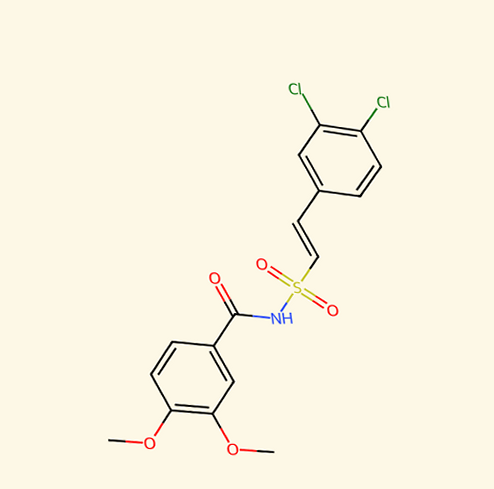 COc1ccc(C(=O)NS(=O)(=O)C=Cc2ccc(Cl)c(Cl)c2)cc1OC